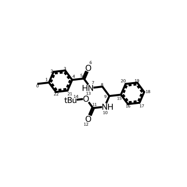 Cc1ccc(C(=O)NCC(NC(=O)OC(C)(C)C)c2ccccc2)cc1